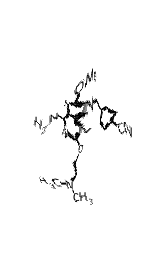 COc1nc2c(N)nc(OCCN(C)C)nc2n1Cc1ccc(C#N)cc1